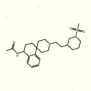 CC(=O)NC1CCC2(CCN(CCC3CCCN(S(C)(=O)=O)C3)CC2)c2ccccc21